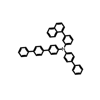 c1ccc(-c2ccc(-c3ccc(N(c4ccc(-c5ccccc5)cc4)c4cccc(-c5cccc6ccccc56)c4)cc3)cc2)cc1